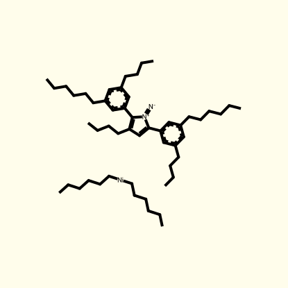 CCCCCCc1cc(CCCC)cc(C2=CC(CCCC)=C(c3cc(CCCC)cc(CCCCCC)c3)[N+]2=[N-])c1.CCCCC[CH2][Ni][CH2]CCCCC